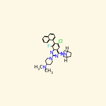 CN(C)C1CCN(c2nc(N3C[C@H]4CC[C@@H](C3)N4)c3cc(Cl)c(-c4cccc5ccccc45)c(F)c3n2)CC1